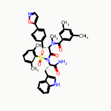 Cc1cc(C)cc(C(=O)N(C)[C@@H](Cc2ccc(-c3ccno3)cc2)C(=O)N([C@@H](Cc2c[nH]c3ccccc23)C(N)=O)S(=O)(=O)c2c(C)cccc2C)c1